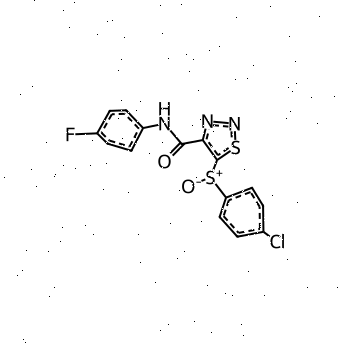 O=C(Nc1ccc(F)cc1)c1nnsc1[S+]([O-])c1ccc(Cl)cc1